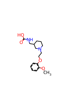 COc1ccccc1OCCN1CCCC(CNC(=O)O)C1